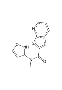 CN(C(=O)c1cc2cccnc2s1)C1C=CON1